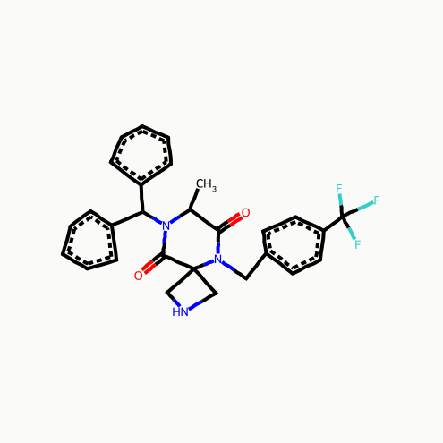 CC1C(=O)N(Cc2ccc(C(F)(F)F)cc2)C2(CNC2)C(=O)N1C(c1ccccc1)c1ccccc1